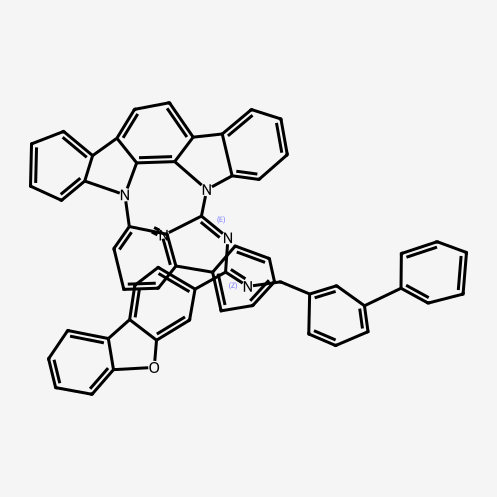 C=N/C(=N\C(=N/Cc1cccc(-c2ccccc2)c1)c1ccc2c(c1)oc1ccccc12)n1c2ccccc2c2ccc3c4ccccc4n(-c4cccc(-c5ccccc5)c4)c3c21